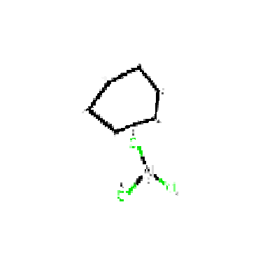 [CH]1CCCCC1.[Cl][Al]([Cl])[Cl]